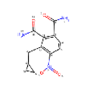 NC(=O)c1ccc([N+](=O)[O-])c(CC2CC2)c1C(N)=O